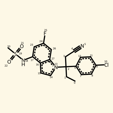 CCC(CC#N)(c1ccc(Cl)cc1)n1ccc2c(NS(C)(=O)=O)cc(F)cc21